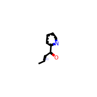 C/C=C/C(=O)c1ccccn1